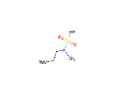 CCCS(=O)(=O)N(C)CCOC